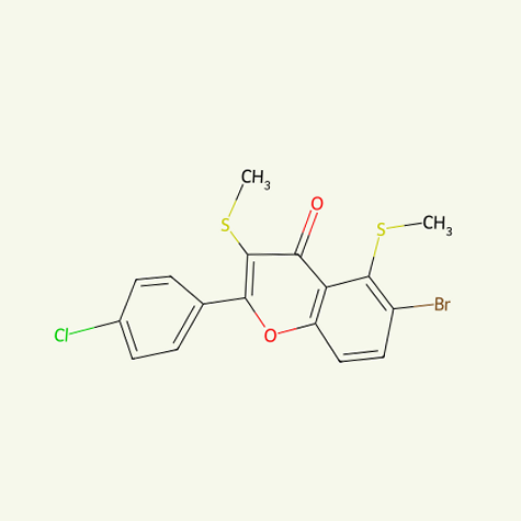 CSc1c(-c2ccc(Cl)cc2)oc2ccc(Br)c(SC)c2c1=O